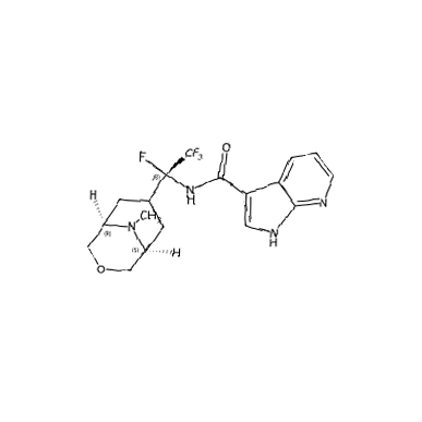 CN1[C@@H]2COC[C@H]1CC([C@](F)(NC(=O)c1c[nH]c3ncccc13)C(F)(F)F)C2